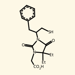 CCC1(CC)C(=O)N(C(CS)Cc2ccccc2)C(=O)N1CC(=O)O